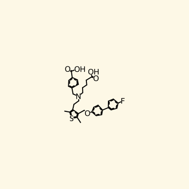 Cc1sc(C)c(COc2ccc(-c3ccc(F)cc3)cc2)c1CCN(CCCCC(=O)O)Cc1ccc(C(=O)O)cc1